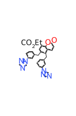 CCOC(=O)c1cc(Cc2cccc(-n3cncn3)c2)c(Cc2cccc(-n3cncn3)c2)c2ccc(=O)oc12